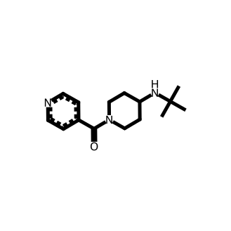 CC(C)(C)NC1CCN(C(=O)c2ccncc2)CC1